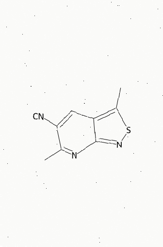 [C-]#[N+]c1cc2c(C)snc2nc1C